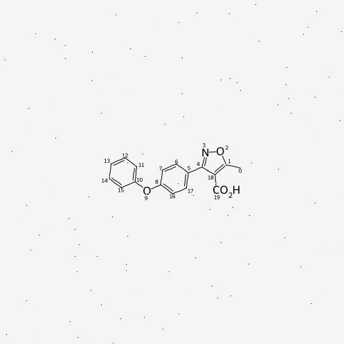 Cc1onc(-c2ccc(Oc3ccccc3)cc2)c1C(=O)O